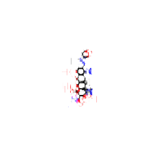 CCN(Cc1cc(O)c2c(c1N(C)C)C[C@H]1C[C@H]3[C@H](N(C)C)C(O)=C(C(N)=O)C(=O)[C@@]3(O)C(O)=C1C2=O)[C@@H]1CCOC1